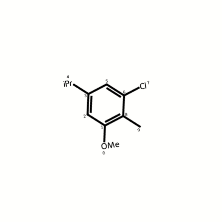 COc1cc(C(C)C)cc(Cl)c1C